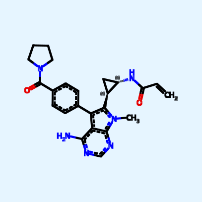 C=CC(=O)N[C@H]1C[C@@H]1c1c(-c2ccc(C(=O)N3CCCC3)cc2)c2c(N)ncnc2n1C